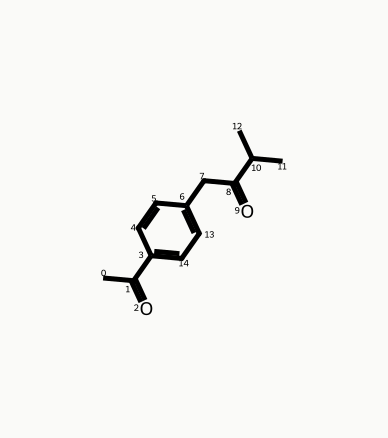 CC(=O)c1ccc(CC(=O)C(C)C)cc1